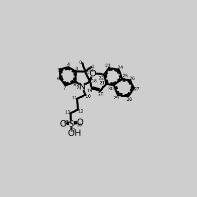 CC1(C)c2ccccc2N(CCCCS(=O)(=O)O)C12C=Cc1c(ccc3ccccc13)O2